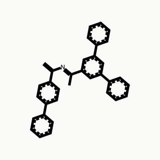 C=C(/N=C(\C)c1cc(-c2ccccc2)cc(-c2ccccc2)c1)c1ccc(-c2ccccc2)cc1